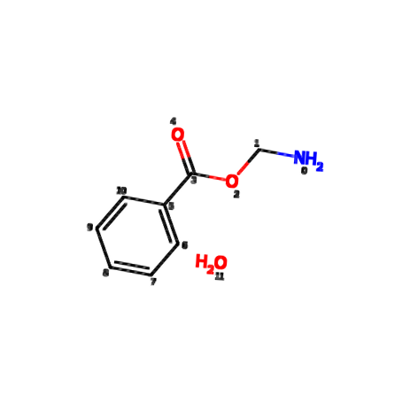 NCOC(=O)c1ccccc1.O